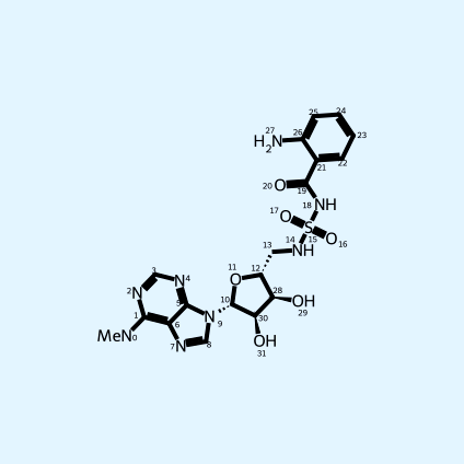 CNc1ncnc2c1ncn2[C@@H]1O[C@H](CNS(=O)(=O)NC(=O)c2ccccc2N)[C@@H](O)[C@H]1O